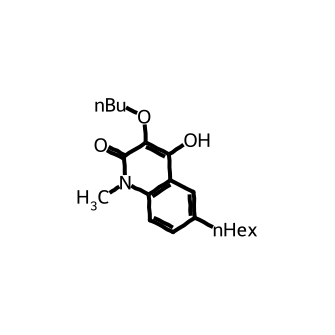 CCCCCCc1ccc2c(c1)c(O)c(OCCCC)c(=O)n2C